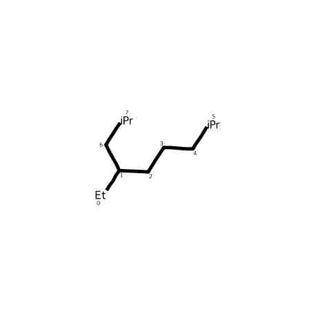 CCC(CCCC(C)C)CC(C)C